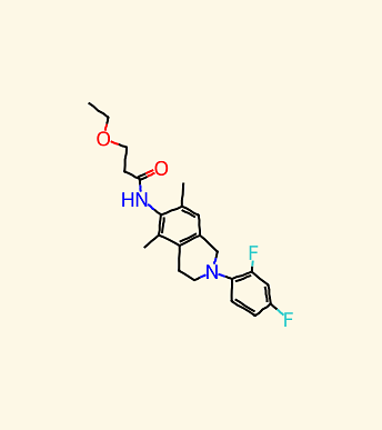 CCOCCC(=O)Nc1c(C)cc2c(c1C)CCN(c1ccc(F)cc1F)C2